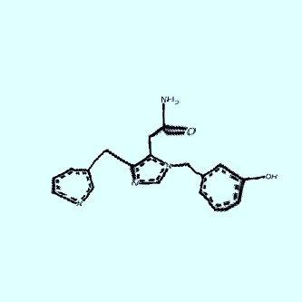 NC(=O)Cc1c(Cc2cccnc2)ncn1Cc1cccc(O)c1